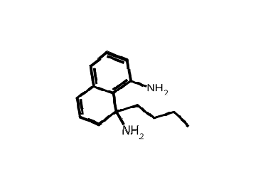 CCCCC1(N)CC=Cc2cccc(N)c21